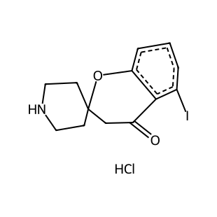 Cl.O=C1CC2(CCNCC2)Oc2cccc(I)c21